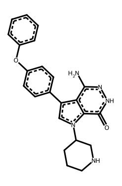 Nc1n[nH]c(=O)c2c1c(-c1ccc(Oc3ccccc3)cc1)cn2C1CCCNC1